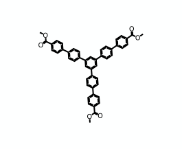 COC(=O)c1ccc(-c2ccc(-c3cc(-c4ccc(-c5ccc(C(=O)OC)cc5)cc4)cc(-c4ccc(-c5ccc(C(=O)OC)cc5)cc4)c3)cc2)cc1